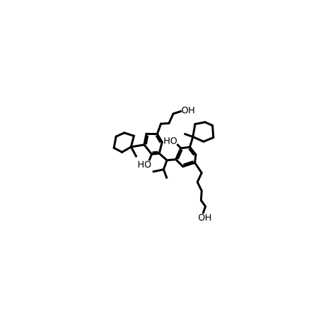 CC(C)C(c1cc(CCCO)cc(C2(C)CCCCC2)c1O)c1cc(CCCCCO)cc(C2(C)CCCCC2)c1O